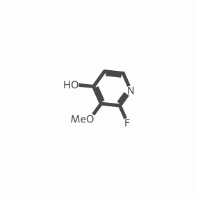 COc1c(O)ccnc1F